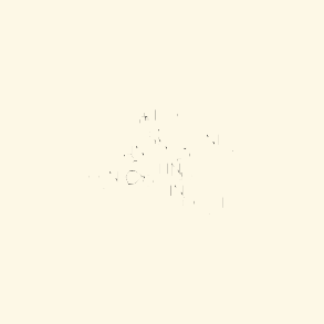 NCCCC[C@@H]1NC(=O)C(CCOC=O)NC(=O)c2cc([N+](=O)[O-])ccc2OCC[C@@H](C(=O)NCC(=O)O)NC1=O